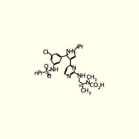 CCCS(=O)(=O)Nc1cc(Cl)cc(-c2nn(C(C)C)cc2-c2ccnc(NC[C@H](C)N(C)C(=O)O)n2)c1